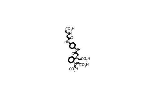 O=C(O)CNCC(=O)NC1CCC(NC(=O)CN(CC(=O)O)C2CCCC[C@H]2N(CC(=O)O)CC(=O)O)CC1